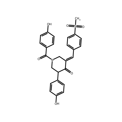 CS(=O)(=O)c1ccc(C=C2CN(C(=O)c3ccc(O)cc3)CC(c3ccc(O)cc3)C2=O)cc1